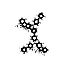 CC1(C)c2ccccc2-c2ccc(N(c3ccc(-c4ccccc4)cc3)c3ccc(-c4ccc5c(c4)c4cc6c(cc4n5-c4ccc(-c5ccccc5)cc4)-c4ccccc4C6(C)C)cc3)cc21